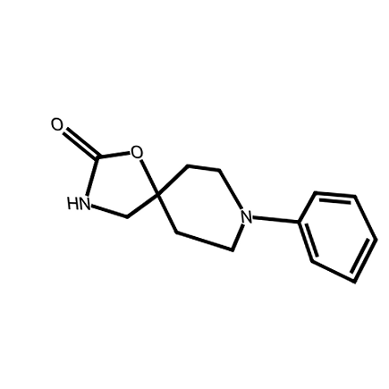 O=C1NCC2(CCN(c3ccccc3)CC2)O1